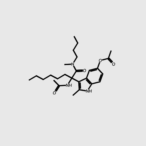 CCCCCCC(NC(C)=O)(C(=O)N(C)CCCC)c1c(C)[nH]c2ccc(OC(C)=O)cc12